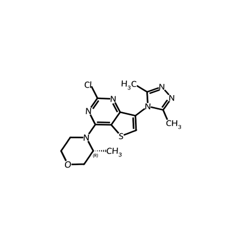 Cc1nnc(C)n1-c1csc2c(N3CCOC[C@H]3C)nc(Cl)nc12